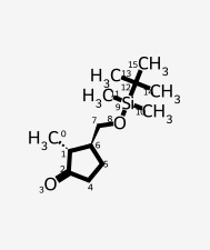 C[C@H]1C(=O)CC[C@@H]1CO[Si](C)(C)C(C)(C)C